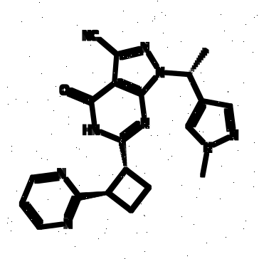 C[C@H](c1cnn(C)c1)n1nc(C#N)c2c(=O)[nH]c([C@@H]3CC[C@H]3c3ncccn3)nc21